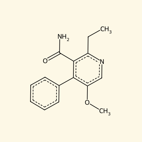 CCc1ncc(OC)c(-c2ccccc2)c1C(N)=O